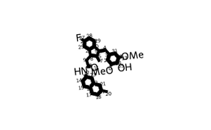 COc1cc(C=C2C(C)=C(CC(=O)Nc3ccc4ccc(C)cc4c3)c3cc(F)ccc32)cc(OC)c1O